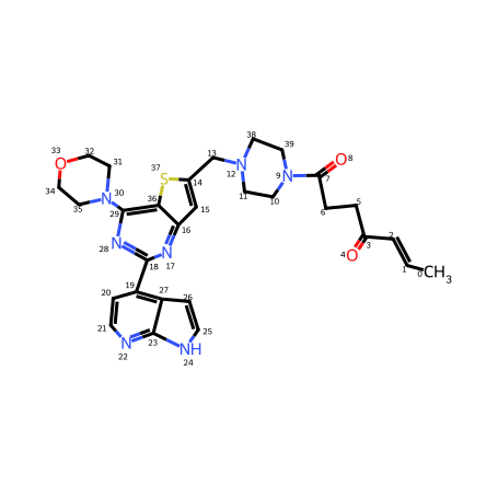 CC=CC(=O)CCC(=O)N1CCN(Cc2cc3nc(-c4ccnc5[nH]ccc45)nc(N4CCOCC4)c3s2)CC1